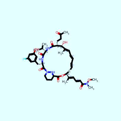 CON(C)C(=O)/C=C/C=C(\C)[C@@H]1C/C=C/C=C/C=C(\C)[C@@H](O)[C@@H](CCC(C)=O)C(=O)N[C@@H](C(C)C)C(=O)N[C@@H](Cc2cc(O)cc(F)c2)C(=O)N2CCCC(N2)C(=O)O1